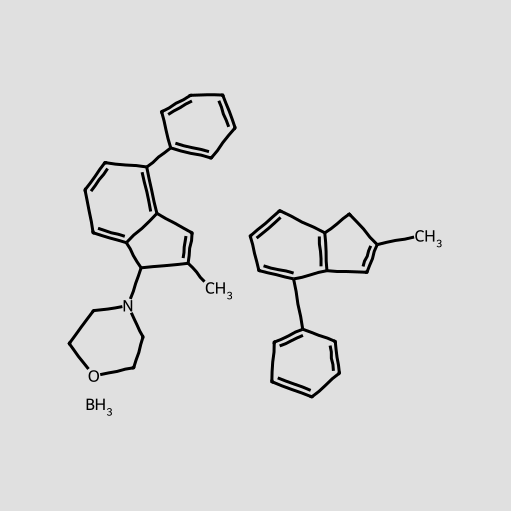 B.CC1=Cc2c(-c3ccccc3)cccc2C1N1CCOCC1.CC1=Cc2c(cccc2-c2ccccc2)C1